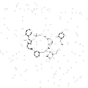 CCc1ccncc1-c1c2c3cc(ccc3n1CC)-c1cccc(c1)C[C@H](NC(=O)[C@H](C(C)C)N(C)C(=O)CCN=C=NCc1ccc(OC)cc1C)C(=O)N1CCC[C@H](N1)C(=O)OCC(C)(C)C2